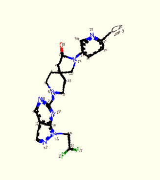 O=C1CC2(CCN(c3ncc4cnn(CC(F)F)c4n3)CC2)CN1c1ccc(C(F)(F)F)nc1